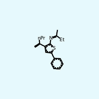 C=C(CCC)c1cc(-c2ccccc2)sc1/N=C(/C)CC